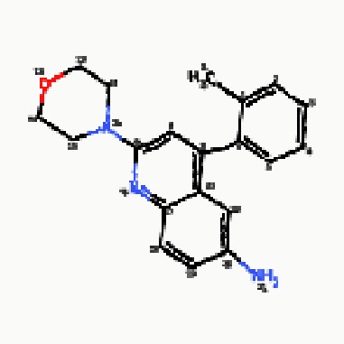 Cc1ccccc1-c1cc(N2CCOCC2)nc2ccc(N)cc12